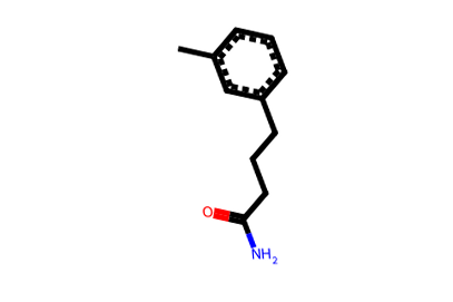 Cc1cccc(CCCC(N)=O)c1